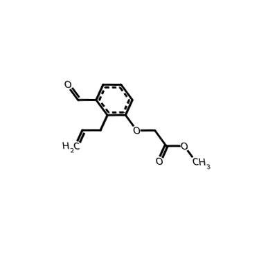 C=CCc1c(C=O)cccc1OCC(=O)OC